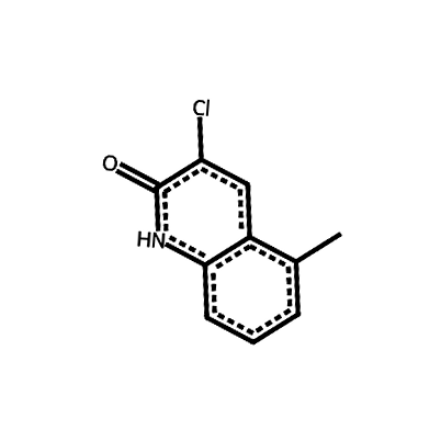 Cc1cccc2[nH]c(=O)c(Cl)cc12